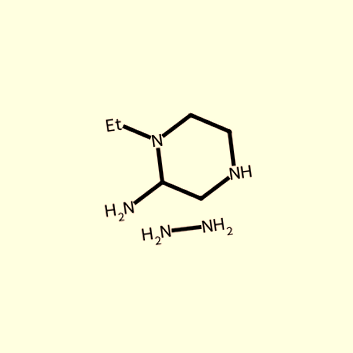 CCN1CCNCC1N.NN